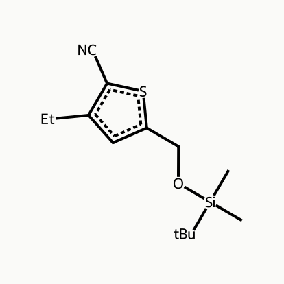 CCc1cc(CO[Si](C)(C)C(C)(C)C)sc1C#N